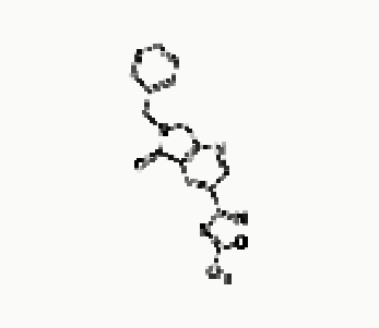 O=C1c2cc(-c3noc(C(F)(F)F)n3)cnc2CN1Cc1ccccc1